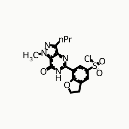 CCCc1nn(C)c2c(=O)[nH]c(-c3cc(S(=O)(=O)Cl)cc4c3OCC4)nc12